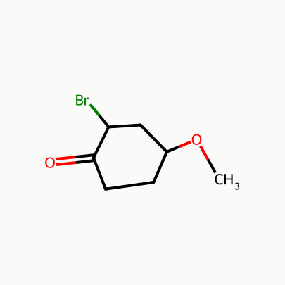 COC1CCC(=O)C(Br)C1